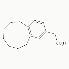 O=C(O)Cc1ccc2c(c1)CCCCCCC2